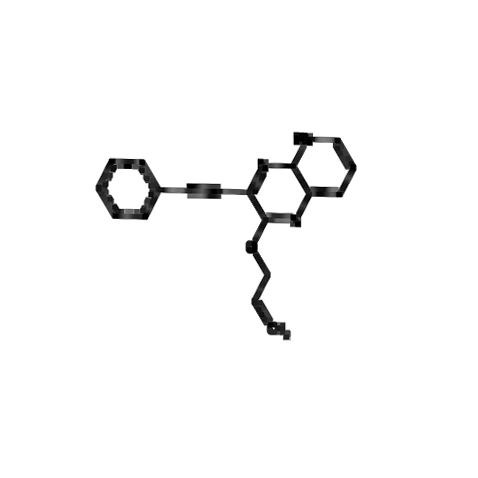 C=CCOC1=NC2=CC=CNC2N=C1C#Cc1ccccc1